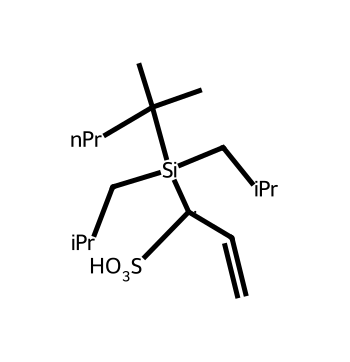 C=C[C]([Si](CC(C)C)(CC(C)C)C(C)(C)CCC)S(=O)(=O)O